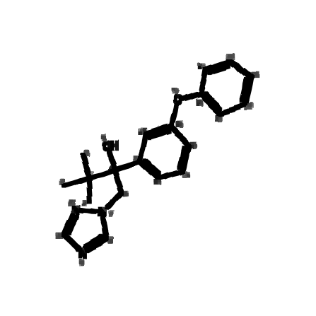 CC(C)(C)C(O)(Cn1cncn1)c1cccc(Oc2ccccc2)c1